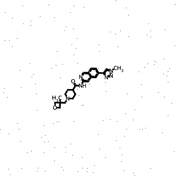 Cn1cc(-c2ccc3cnc(NC(=O)C4CCN(CC5(C)COC5)CC4)cc3c2)nn1